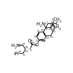 C/C=C1\C2C=C(C)CC1(N)c1ccc(OC(=O)C[C@@H](CN)CC(C)C)nc1C2